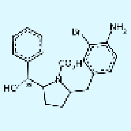 Nc1ccc(CC2CCC([C@H](O)c3ccccc3)N2C(=O)O)cc1Br